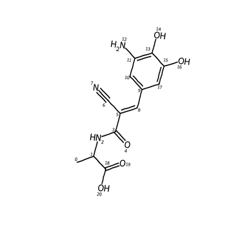 CC(NC(=O)/C(C#N)=C/c1cc(N)c(O)c(O)c1)C(=O)O